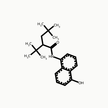 CC(C)(C)CC(C(=O)Nc1cccc2c(O)cccc12)C(C)(C)C